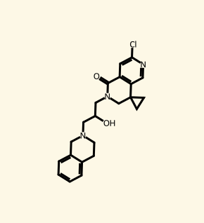 O=C1c2cc(Cl)ncc2C2(CC2)CN1CC(O)CN1CCc2ccccc2C1